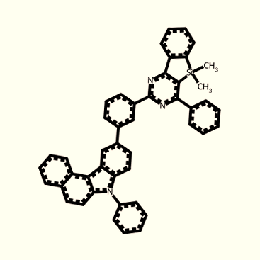 C[Si]1(C)c2ccccc2-c2nc(-c3cccc(-c4ccc5c(c4)c4c6ccccc6ccc4n5-c4ccccc4)c3)nc(-c3ccccc3)c21